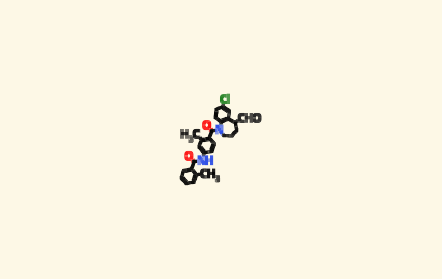 Cc1ccccc1C(=O)Nc1ccc(C(=O)N2CCCC(C=O)c3cc(Cl)ccc32)c(C)c1